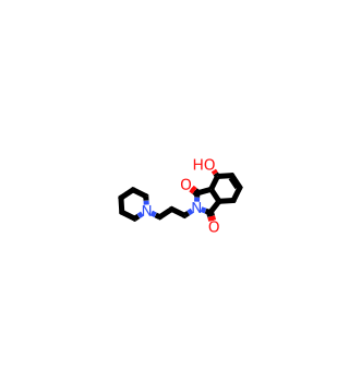 O=C1C2CC=CC(O)C2C(=O)N1CCCN1CCCCC1